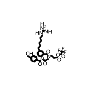 CCc1ccc(C(=O)N2C(=O)CN(CCC(=O)OC(=O)C(F)(F)F)C(=O)c3cc(CCCCCCNC(=N)N)ccc32)cc1